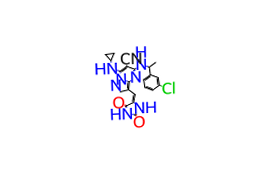 CC(Nc1nc2c(C=C3NC(=O)NC3=O)cnn2c(NC2CC2)c1C#N)c1cccc(Cl)c1